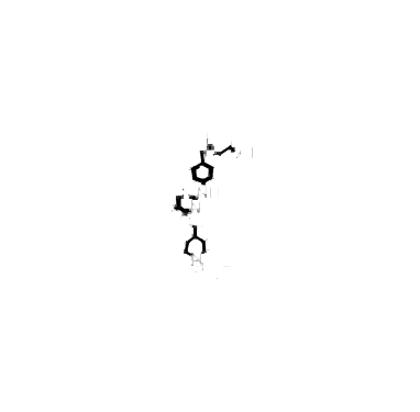 CCN(CCO)Cc1ccc(Nc2ncc(F)c(OCC3CCN(C(=O)O)CC3)n2)cc1